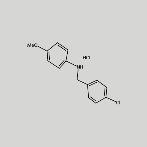 COc1ccc(NCc2ccc(Cl)cc2)cc1.Cl